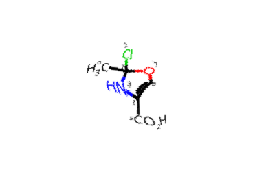 CC1(Cl)NC(C(=O)O)=CO1